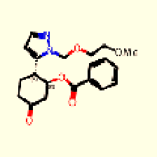 COCCOCn1nccc1[C@H]1CCC(=O)C[C@@H]1OC(=O)c1ccccc1